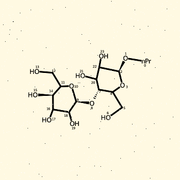 CCCO[C@H]1OC(CO)[C@H](O[C@@H]2OC(CO)[C@H](O)C(O)C2O)C(O)C1O